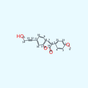 COc1ccc(-c2cc3ccc(C#CCO)cc3oc2=O)cc1